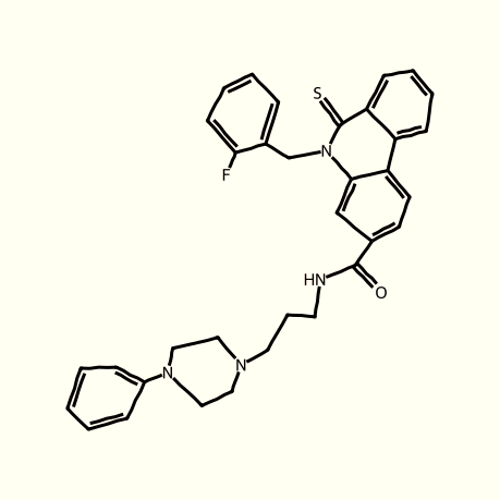 O=C(NCCCN1CCN(c2ccccc2)CC1)c1ccc2c3ccccc3c(=S)n(Cc3ccccc3F)c2c1